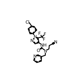 N#CCCN(Cc1cccnc1)C(=O)Nc1cnn(-c2ccc(Cl)cc2)c1C(F)(F)F